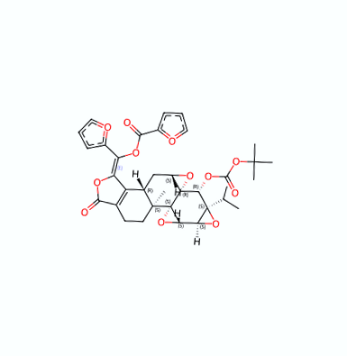 CC(C)[C@]12O[C@H]1[C@@H]1O[C@]13[C@]1(O[C@H]1C[C@H]1C4=C(CC[C@@]13C)C(=O)O/C4=C(/OC(=O)c1ccco1)c1ccco1)[C@@H]2OC(=O)OC(C)(C)C